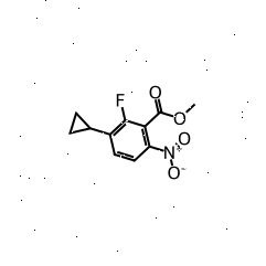 COC(=O)c1c([N+](=O)[O-])ccc(C2CC2)c1F